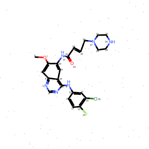 COc1cc2ncnc(Nc3ccc(F)c(Cl)c3)c2cc1NC(=O)C=CCN1CCNCC1